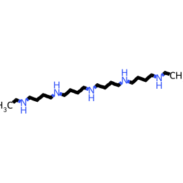 CCNCCCCNCCCCNCCCCNCCCCNCC